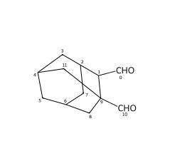 O=CC1C2CC3CC(C2)CC1(C=O)C3